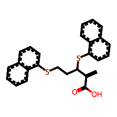 C=C(C(=O)O)C(CCSc1cccc2ccccc12)Sc1cccc2ccccc12